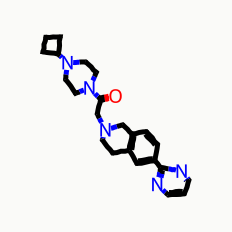 O=C(CN1CCc2cc(-c3ncccn3)ccc2C1)N1CCN(C2CCC2)CC1